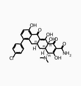 CN(C)[C@H]1C(O)=C(C(N)=O)C(=O)[C@@]2(O)C(O)=C3C(=O)c4c(O)ccc(-c5ccc(Cl)cc5)c4C[C@@H]3C[C@H]12